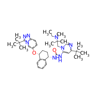 CCN(C)C(C)(C)CN1CN=C(C(C)(C)C)C=C1NC(=O)N[C@H]1CC[C@@H](Oc2ccc3nnc(C(C)(C)C)n3c2)c2ccccc21